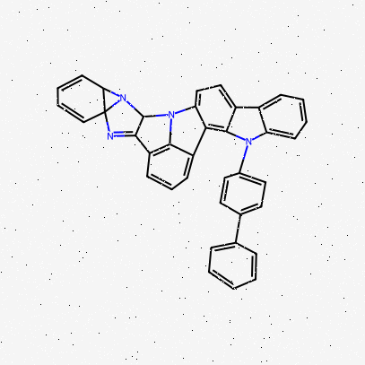 C1=CC2N3C4C(=NC23C=C1)c1cccc2c3c5c(ccc3n4c12)c1ccccc1n5-c1ccc(-c2ccccc2)cc1